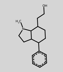 CN1CCC2C(c3ccccc3)CCC(CCO)C21